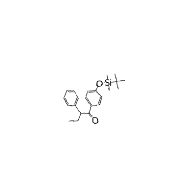 CCC(C(=O)c1ccc(O[Si](C)(C)C(C)(C)C)cc1)c1ccccc1